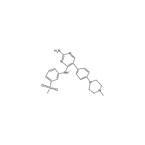 CN1CCN(c2ccc(-c3cnc(N)nc3Nc3cccc(S(C)(=O)=O)c3)cc2)CC1